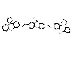 CN1c2ccccc2[Si]2(CCCC2)c2ccc(/C=C/c3ccc4c(c3)C(C)(C)c3c[si](/C=C/c5ccc6c(c5)N(C)c5ccccc5[Si]65CCCC5)ccc3-4)cc21